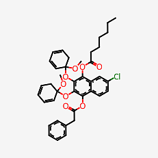 CCCCCCC(=O)Oc1c(OC2(OC)C=CC=CC2)c(OC2(OC)C=CC=CC2)c(OC(=O)Cc2ccccc2)c2ccc(Cl)cc12